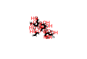 CCC(O)COCC1OC(O[C@@H]2C(CO)O[C@H](OC)C(O)[C@H]2O)C(O)[C@@H](O)[C@@H]1OOC(CO)[C@@H](OC)C(O)[C@@H](C)O